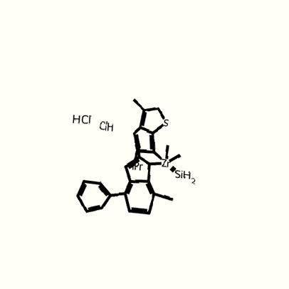 CC1=Cc2c(-c3ccccc3)ccc(C)c2[CH]1[Zr]([CH3])([CH3])(=[SiH2])[C]1=C2SCC(C)=C2C=C1C(C)C.Cl.Cl